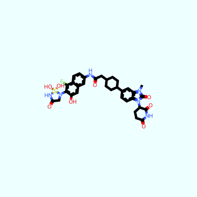 Cn1c(=O)n(C2CCC(=O)NC2=O)c2ccc(C3CCC(CC(=O)Nc4ccc5c(F)c(N6CC(=O)NS6(O)O)c(O)cc5c4)CC3)cc21